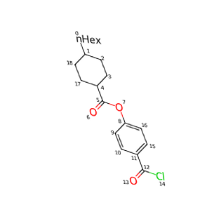 CCCCCCC1CCC(C(=O)Oc2ccc(C(=O)Cl)cc2)CC1